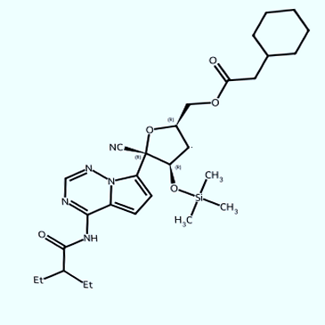 CCC(CC)C(=O)Nc1ncnn2c([C@]3(C#N)O[C@@H](COC(=O)CC4CCCCC4)[CH][C@H]3O[Si](C)(C)C)ccc12